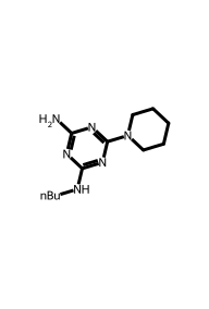 CCCCNc1nc(N)nc(N2CCCCC2)n1